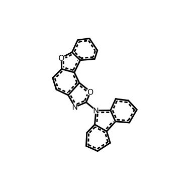 c1ccc2c(c1)oc1ccc3nc(-n4c5ccccc5c5ccccc54)oc3c12